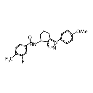 COc1ccc(-n2ncc3c2CCCC3NC(=O)c2ccc(C(F)(F)F)c(F)c2)cc1